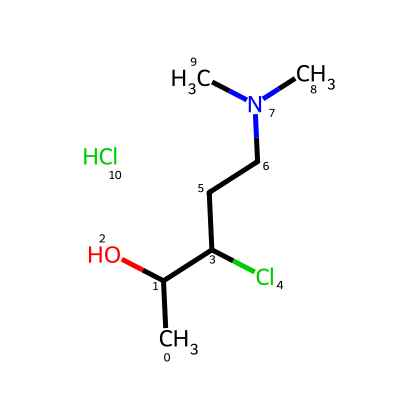 CC(O)C(Cl)CCN(C)C.Cl